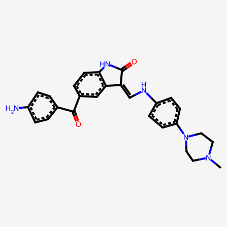 CN1CCN(c2ccc(NC=C3C(=O)Nc4ccc(C(=O)c5ccc(N)cc5)cc43)cc2)CC1